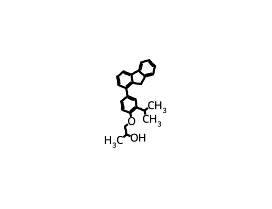 CC(O)COc1ccc(-c2cccc3c2Cc2ccccc2-3)cc1C(C)C